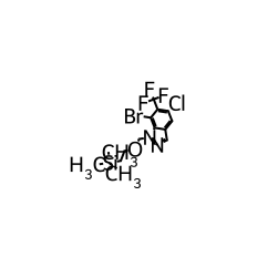 C[Si](C)(C)CCOCn1ncc2cc(Cl)c(C(F)(F)F)c(Br)c21